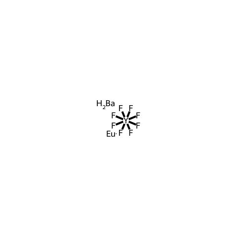 [BaH2].[Eu].[F][Y]([F])([F])([F])([F])([F])([F])[F]